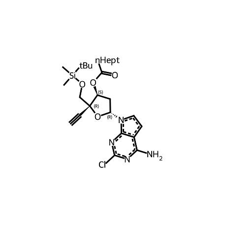 C#C[C@]1(CO[Si](C)(C)C(C)(C)C)O[C@@H](n2ccc3c(N)nc(Cl)nc32)C[C@@H]1OC(=O)CCCCCCC